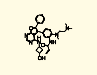 C=CC(=O)Nc1cc(-c2c(-c3ccccc3)oc3ncnc(NC4CC(O)C4)c23)ccc1N(C)CCN(C)C